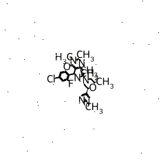 C=C(/N=C(/c1ccc(Cl)cc1F)c1c(C)nc(C)n(C)c1=O)N1C[C@@H](C)O[C@@H](c2cnn(C)c2)C1